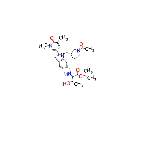 CC(=O)N1CCC[C@H](Cn2c(-c3cc(C)c(=O)n(C)c3)nc3ccc(CNC(C(=O)OC(C)C)C(C)O)cc32)C1